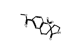 COC(=O)c1ccc2c(c1)CCC1(CCNC1=O)S2(=O)=O